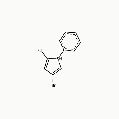 ClC1=CC(Br)=C[SH]1c1ccccc1